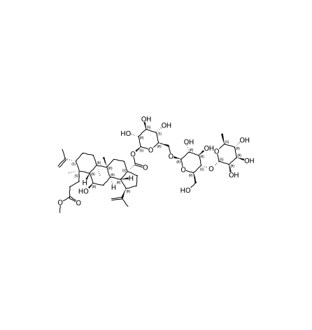 C=C(C)[C@@H]1CC[C@]2(C(=O)O[C@@H]3O[C@H](CO[C@@H]4O[C@H](CO)[C@@H](O[C@@H]5O[C@@H](C)[C@H](O)[C@@H](O)[C@H]5O)[C@H](O)[C@H]4O)[C@@H](O)[C@H](O)[C@H]3O)CC[C@]3(C)[C@H](C[C@@H](O)[C@@H]4[C@@](C)(CCC(=O)OC)[C@H](C(=C)C)CC[C@]43C)[C@@H]12